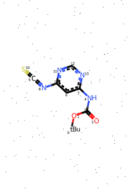 CC(C)(C)OC(=O)Nc1cc(N=C=S)ncn1